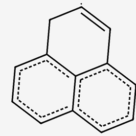 [C]1=Cc2c[c]cc3cccc(c23)C1